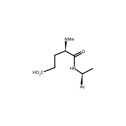 CN[C@H](CCC(=O)O)C(=O)N[C@@H](C)C(C)=O